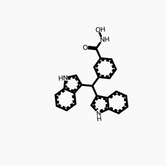 O=C(NO)c1cccc(C(c2c[nH]c3ccccc23)c2c[nH]c3ccccc23)c1